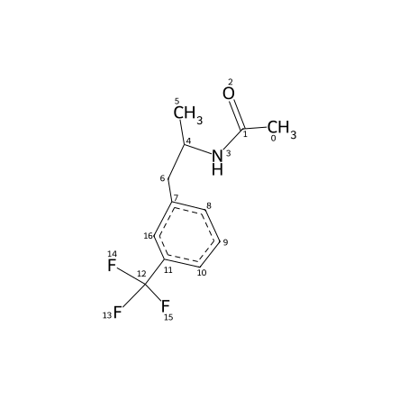 CC(=O)NC(C)Cc1cccc(C(F)(F)F)c1